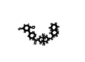 Fc1ccc(Cl)c(-c2ccc(N[C@H]3C[C@@H]4CN(Cc5cnc6ccccc6c5)C[C@@H]4C3)nn2)c1